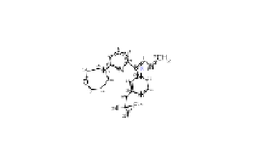 C=N/C=C(/c1nccc(N2CCCOCC2)n1)N1C=C(CC(F)(F)F)N=CC1